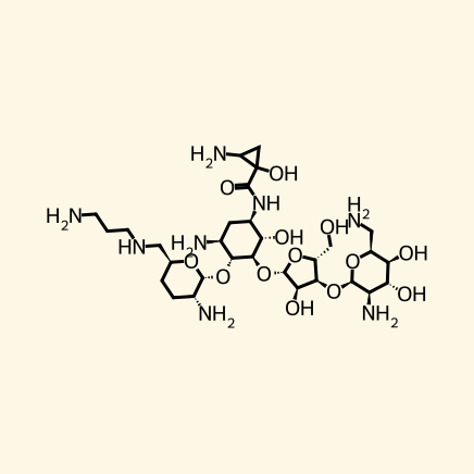 NCCCNC[C@@H]1CC[C@@H](N)[C@@H](O[C@H]2[C@H](O[C@@H]3O[C@H](CO)[C@@H](O[C@H]4O[C@@H](CN)[C@@H](O)[C@H](O)[C@H]4N)[C@H]3O)[C@@H](O)[C@H](NC(=O)C3(O)CC3N)C[C@@H]2N)O1